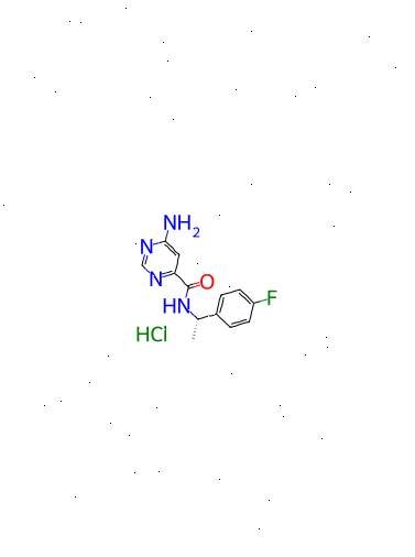 C[C@H](NC(=O)c1cc(N)ncn1)c1ccc(F)cc1.Cl